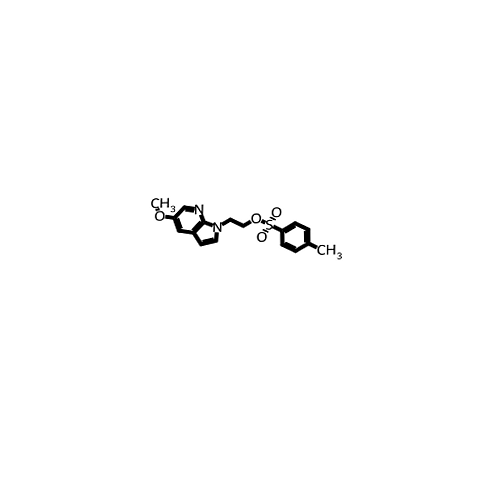 COc1cnc2c(ccn2CCOS(=O)(=O)c2ccc(C)cc2)c1